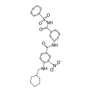 O=C(Nc1cccc(C(=O)NS(=O)(=O)c2ccccc2)c1)c1ccc(NCC2CCCCC2)c([N+](=O)[O-])c1